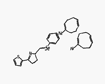 [Ni][C]1=CCCC=CCC1.[Ni][C]1=CCCC=CCC1.c1ccc([Se]CC2CCC(c3cccs3)=N2)cc1